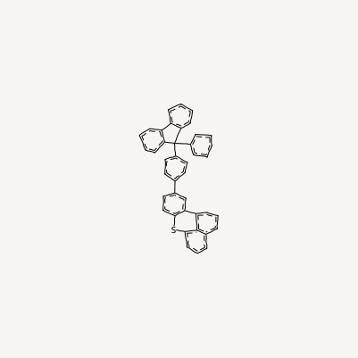 c1ccc(C2(c3ccc(-c4ccc5c(c4)-c4cccc6cccc(c46)S5)cc3)c3ccccc3-c3ccccc32)cc1